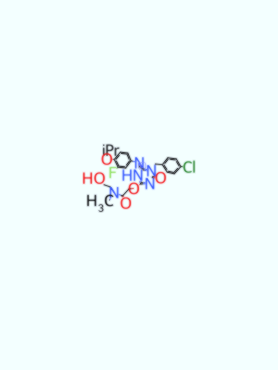 CC(C)Oc1ccc(/N=c2\[nH]c(OCC(=O)N(C)CCO)nc(=O)n2Cc2ccc(Cl)cc2)cc1F